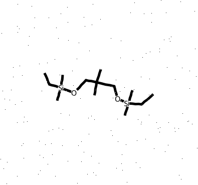 CC[Si](C)(C)OCC(C)(C)CO[Si](C)(C)CC